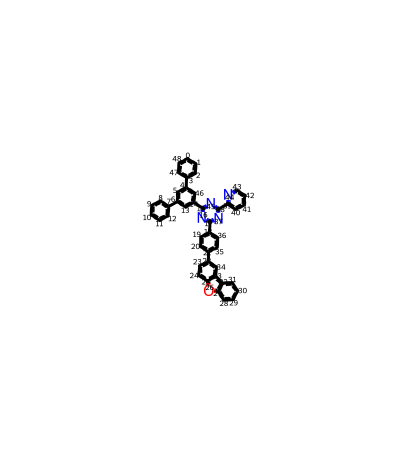 c1ccc(-c2cc(-c3ccccc3)cc(-c3nc(-c4ccc(-c5ccc6oc7ccccc7c6c5)cc4)nc(-c4ccccn4)n3)c2)cc1